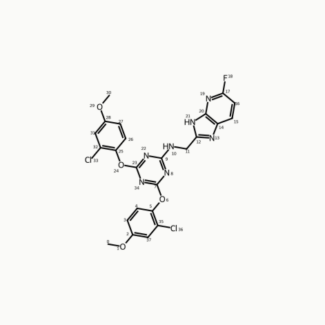 COc1ccc(Oc2nc(NCc3nc4ccc(F)nc4[nH]3)nc(Oc3ccc(OC)cc3Cl)n2)c(Cl)c1